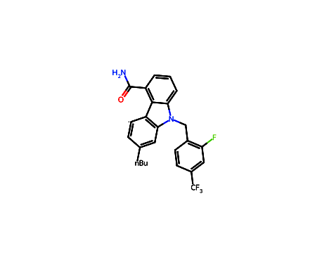 CCCCc1c[c]c2c3c(C(N)=O)cccc3n(Cc3ccc(C(F)(F)F)cc3F)c2c1